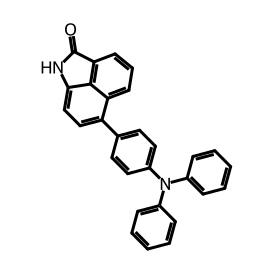 O=C1Nc2ccc(-c3ccc(N(c4ccccc4)c4ccccc4)cc3)c3cccc1c23